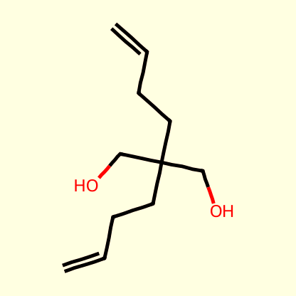 C=CCCC(CO)(CO)CCC=C